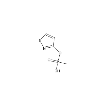 CP(=O)(O)Oc1ccsn1